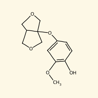 COc1cc(OC23COCC2COC3)ccc1O